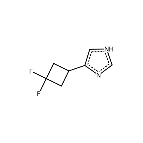 FC1(F)CC(c2c[nH]cn2)C1